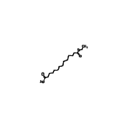 CCOC(=O)CCCCCCCCCCCCC(=O)O